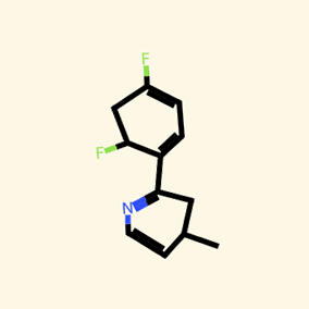 CC1C=CN=C(C2=CC=C(F)CC2F)C1